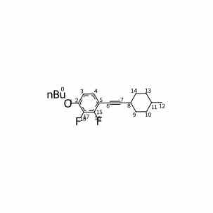 CCCCOc1ccc(C#CC2CCC(C)CC2)c(F)c1F